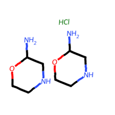 Cl.NC1CNCCO1.NC1CNCCO1